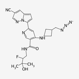 CC(C)(O)C(F)CNC(=O)c1cnc(-c2ccc3cc(C#N)cnn23)cc1NC1CC(CN=[N+]=[N-])C1